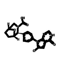 O=C(O)N1C[C@H]2CC[C@H](O2)[C@H]1c1ccc(-n2c(Cl)cc3c(=O)[nH]cnc32)cc1